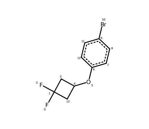 FC1(F)CC(Oc2ccc(Br)cc2)C1